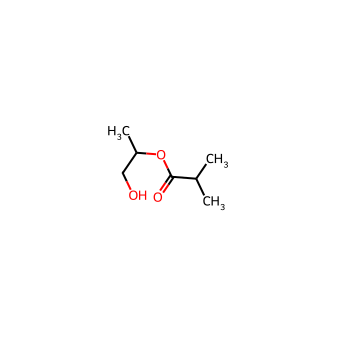 CC(CO)OC(=O)C(C)C